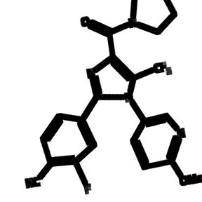 COc1ccc(-n2c(-c3ccc(C#N)c(F)c3)nc(C(=O)N3CCCC3)c2C(F)(F)F)cn1